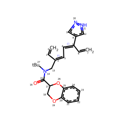 C=C/C(=C\C=C(/C=C)c1cn[nH]c1)CN(C(=O)C1COc2ccccc2O1)C(C)(C)C